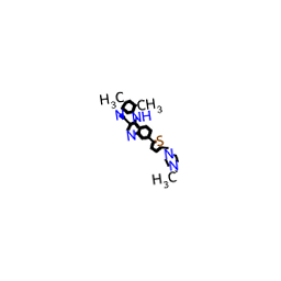 CCN1CCN(Cc2ccc(-c3ccc4c(Nc5ccc(C)cc5C)c(C#N)cnc4c3)s2)CC1